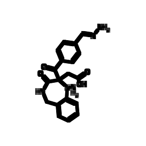 NN=Cc1ccc(C(=O)C2(CC(=O)O)C(=O)NCc3ccccc3N2N)cc1